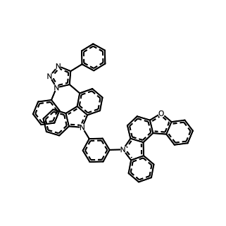 c1ccc(-c2nnn(-c3ccccc3)c2-c2cccc3c2c2ccccc2n3-c2cccc(-n3c4ccccc4c4c5c(ccc43)oc3ccccc35)c2)cc1